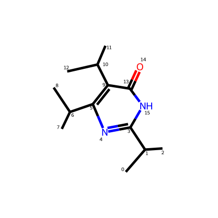 CC(C)c1nc(C(C)C)c(C(C)C)c(=O)[nH]1